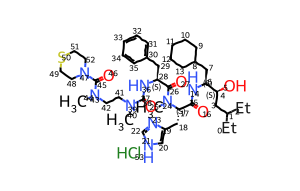 CCC(CC)C[C@H](O)[C@H](CC1CCCCC1)NC(=O)[C@H](Cc1c[nH]cn1)N(C)C(=O)[C@H](Cc1ccccc1)NC(=O)N(C)CCN(C)C(=O)N1CCSCC1.Cl